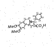 COc1cc2c(cc1OC)-c1cc(C(=O)O)c(-c3ccccc3)n1CC2